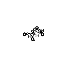 O=C(Nc1nc2ccccc2s1)c1cccc2c1CN(c1nc(C(O)Nc3cccnc3)c(CCCOc3ccccc3)s1)CC2